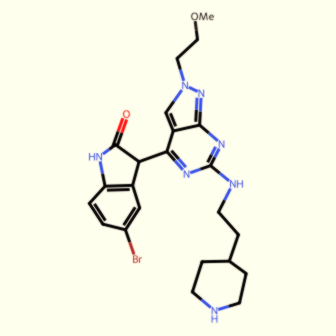 COCCn1cc2c(C3C(=O)Nc4ccc(Br)cc43)nc(NCCC3CCNCC3)nc2n1